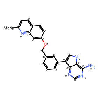 CNc1ccc2ccc(OCc3cccc(-c4c[nH]c5c(N)ncnc45)c3)cc2n1